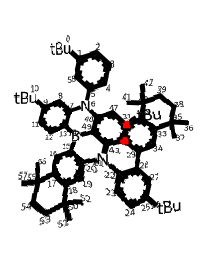 CC(C)(C)c1cccc(N2c3cc(C(C)(C)C)ccc3B3c4cc5c(cc4N(c4ccc(C(C)(C)C)cc4-c4ccc6c(c4)C(C)(C)CCC6(C)C)c4cc(C(C)(C)C)cc2c43)C(C)(C)CCC5(C)C)c1